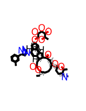 CC[C@H]1CCC[C@H](O[C@H]2CC[C@H](N(C)C)C(C)O2)[C@@H](C)C(=O)C2=C[C@@H]3C(C=C(n4cc(-c5cccc(C)c5)nn4)[C@@H]4C[C@@H](OC5OC(C)C(OC)C(OC)C5OC)C[C@@H]34)[C@@H]2CC(=O)O1